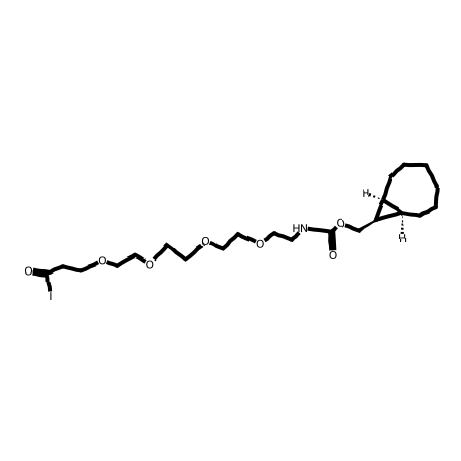 O=C(I)CCOCCOCCOCCOCCNC(=O)OC[C@@H]1[C@@H]2CCCCCC[C@@H]21